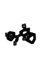 O=CN(c1cc(Cl)cc2c1OC1CCCC2C1)C12CCN(CC1)CC2